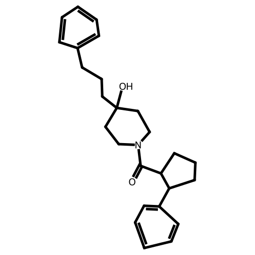 O=C(C1CCCC1c1ccccc1)N1CCC(O)(CCCc2ccccc2)CC1